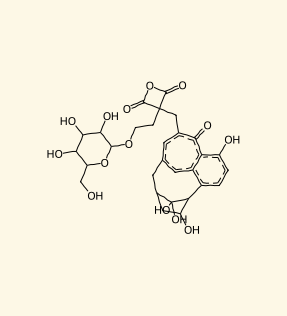 O=C1OC(=O)C1(CCOC1OC(CO)C(O)C(O)C1O)Cc1cc2cc3c(ccc(O)c3c1=O)C1C(O)CC(C2)C1(O)O